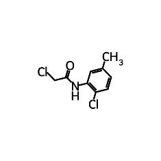 Cc1ccc(Cl)c(NC(=O)CCl)c1